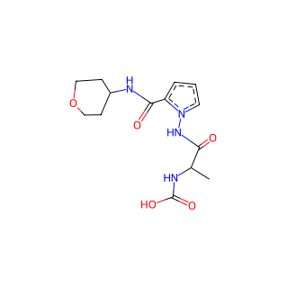 CC(NC(=O)O)C(=O)Nn1cccc1C(=O)NC1CCOCC1